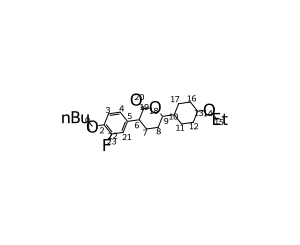 CCCCOc1ccc(C2CCC(C3CCC(OCC)CC3)OC2=O)cc1F